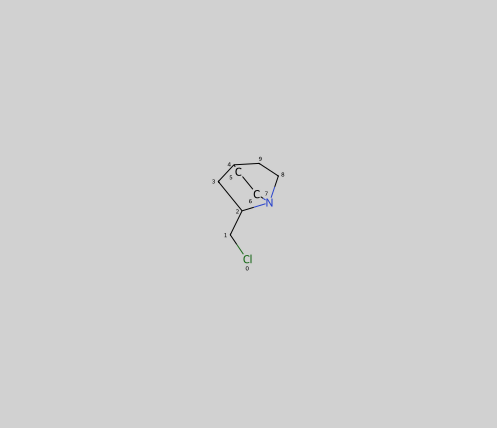 ClCC1CC2CCN1CC2